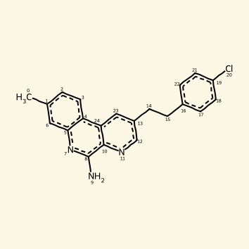 Cc1ccc2c(c1)nc(N)c1ncc(CCc3ccc(Cl)cc3)cc12